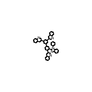 c1ccc(-n2c(-c3cc(-c4cc(-c5cnc6ccccc6c5)cc(-c5cnc6ccccc6c5)c4)ccc3-c3cnc4ccccc4c3)nc3ccccc32)cc1